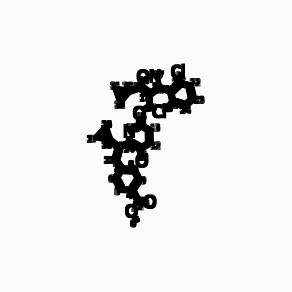 COC(=O)c1ccc2c(c1)Oc1ccc(OCc3c(-c4c(Cl)cccc4Cl)noc3C3CC3)nc1C(C1CC1)=C2